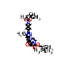 Cc1cc(N2CCN(C(=O)OCC[Si](C)(C)C)[C@@H]3COC[C@H]32)nn1C1CC2(C1)CN(C(=O)OC(C)(C)C)C2